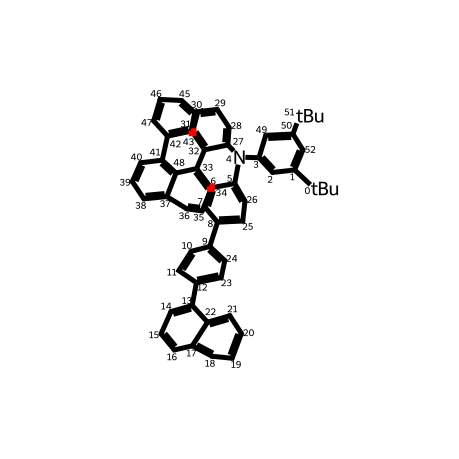 CC(C)(C)c1cc(N(c2ccc(-c3ccc(-c4cccc5ccccc45)cc3)cc2)c2ccccc2-c2cccc3cccc(-c4ccccc4)c23)cc(C(C)(C)C)c1